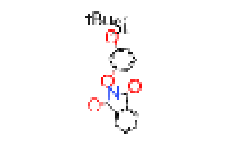 CC(C)(C)[Si](C)(C)Oc1cccc(ON2C(=O)c3ccccc3C2=O)c1